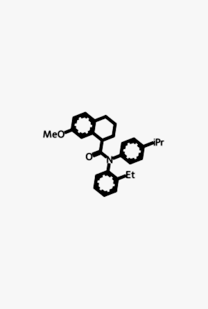 CCc1ccccc1N(C(=O)C1CCCc2ccc(OC)cc21)c1ccc(C(C)C)cc1